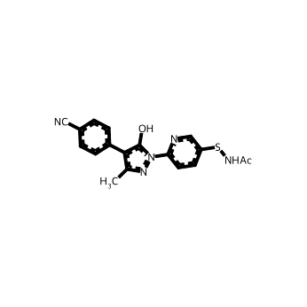 CC(=O)NSc1ccc(-n2nc(C)c(-c3ccc(C#N)cc3)c2O)nc1